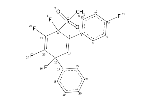 CS(=O)(=O)C1(F)C(c2ccc(F)cc2)=CC(F)(c2ccccc2)C(F)=C1F